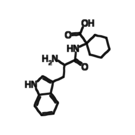 NC(Cc1c[nH]c2ccccc12)C(=O)NC1(C(=O)O)CCCCC1